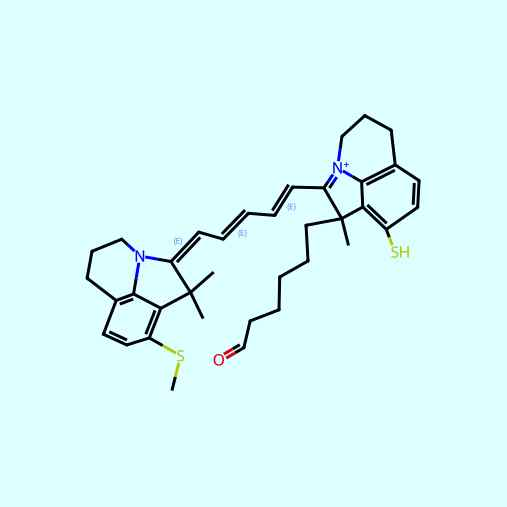 CSc1ccc2c3c1C(C)(C)\C(=C/C=C/C=C/C1=[N+]4CCCc5ccc(S)c(c54)C1(C)CCCCCC=O)N3CCC2